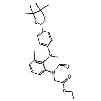 CCOC(=O)CN(C=O)c1cccc(C)c1N(C)c1ccc(B2OC(C)(C)C(C)(C)O2)cc1